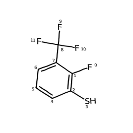 Fc1c(S)cccc1C(F)(F)F